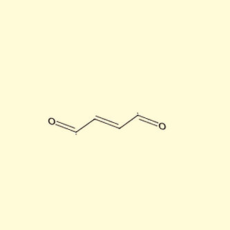 O=[C]/C=C/[C]=O